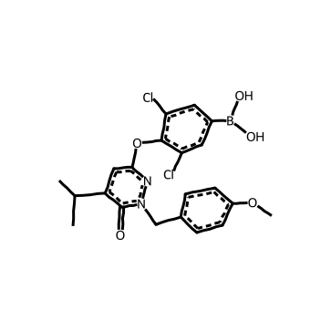 COc1ccc(Cn2nc(Oc3c(Cl)cc(B(O)O)cc3Cl)cc(C(C)C)c2=O)cc1